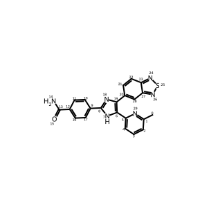 Cc1cccc(-c2[nH]c(-c3ccc(C(N)=O)cc3)nc2-c2ccc3nsnc3c2)n1